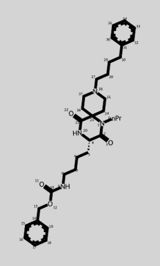 CCCN1C(=O)[C@H](CCCCNC(=O)OCc2ccccc2)NC(=O)C12CCN(CCCCc1ccccc1)CC2